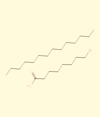 CCCCCCCCCCCCCC.O=C(O)CCCCCCCBr